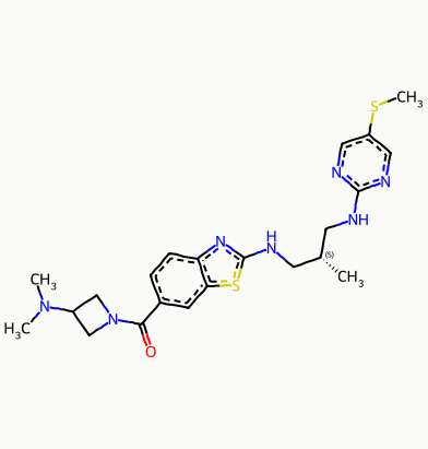 CSc1cnc(NC[C@H](C)CNc2nc3ccc(C(=O)N4CC(N(C)C)C4)cc3s2)nc1